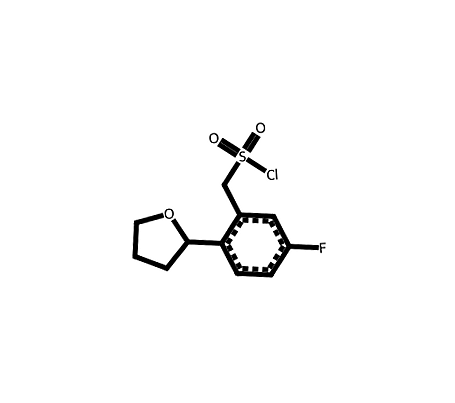 O=S(=O)(Cl)Cc1cc(F)ccc1C1CCCO1